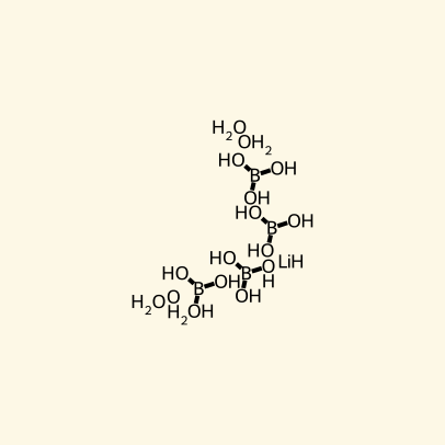 O.O.O.O.OB(O)O.OB(O)O.OB(O)O.OB(O)O.[LiH]